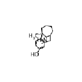 C[C@@]12CCCCC(Cc3cc(O)ccc31)C2N